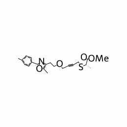 COC(=O)[C@H](C)SCC#CCOCCc1nc(-c2ccc(C)cc2)oc1C